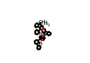 CC1(C)c2ccccc2-c2c(-c3ccccc3N(c3cccc(-c4cccc5c4oc4ccccc45)c3)c3cccc4c5ccccc5n(-c5ccccc5)c34)cccc21